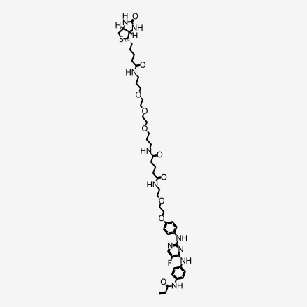 C=CC(=O)Nc1ccc(Nc2nc(Nc3ccc(OCCOCCNC(=O)CCCC(=O)NCCCOCCOCCOCCCNC(=O)CCCC[C@@H]4SC[C@@H]5NC(=O)N[C@@H]54)cc3)ncc2F)cc1